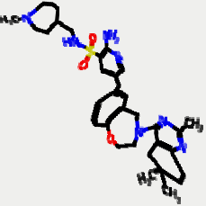 Cc1nc2c(c(N3CCOc4ccc(-c5cnc(N)c(S(=O)(=O)NCC6CCN(C)CC6)c5)cc4C3)n1)CC(C)(C)CC2